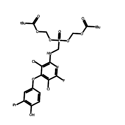 CC(C)c1cc(Oc2c(Cl)c(F)nc(NCP(=O)(OCOC(=O)C(C)(C)C)OCOC(=O)C(C)(C)C)c2Cl)ccc1O